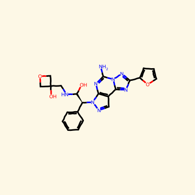 Nc1nc2c(cnn2[C@@H](c2ccccc2)C(O)NCC2(O)COC2)c2nc(-c3ccco3)nn12